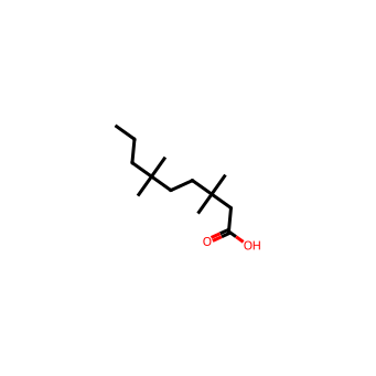 CCCC(C)(C)CCC(C)(C)CC(=O)O